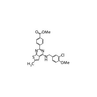 COC(=O)c1ccc(-c2nc(NCc3ccc(OC)c(Cl)c3)c3cc(C)sc3n2)cc1